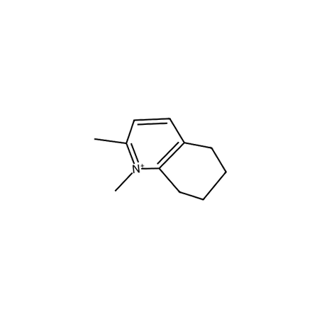 Cc1ccc2c([n+]1C)CCCC2